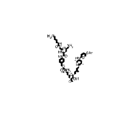 CC(=O)O[C@@H](C)/C=C\C(=O)N[C@@H]1C[C@H](C)[C@H](C/C=C(C)/C=C/[C@H]2O[C@H](CC(=O)NNC(=O)OCc3ccc(NC(=O)[C@H](CCCN)NC(=O)CNC(=O)CCCCCN)cc3)C[C@@]3(CO3)[C@@H]2O)O[C@@H]1C